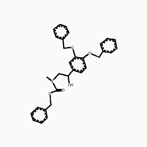 CN(CC(O)c1ccc(OCc2ccccc2)c(OCc2ccccc2)c1)C(=O)OCc1ccccc1